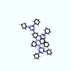 c1ccc(-c2cc(-c3cc(-c4nc(-c5ccccc5)nc(-c5ccccc5)n4)ccc3N3c4ccccc4N(c4nc(-c5ccccc5)nc(-c5ccccc5)n4)c4ccccc43)nc(-c3ccccc3)n2)cc1